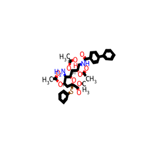 COC(=O)C1(Sc2ccccc2)C[C@@H](OC(C)=O)C(N)C([C@H](O[C@H](C)O)C(CNC(=O)c2ccc(-c3ccccc3)cc2)OC(C)=O)O1